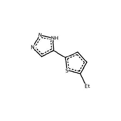 CCc1ccc(-c2cnn[nH]2)s1